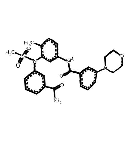 Cc1ccc(NC(=O)c2cccc(N3CCOCC3)c2)cc1N(c1cccc(C(N)=O)c1)S(C)(=O)=O